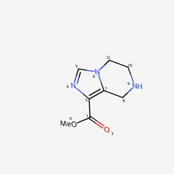 COC(=O)c1ncn2c1CNCC2